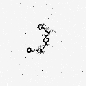 CC(CNC1=NCCN1)CC(=O)N1CCC(C(=O)NC[C@H](NC(=O)OCc2ccccc2)C(=O)O)CC1